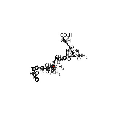 Cc1c(-c2ccc(-c3ccc4cncc(C(=O)Nc5nc6ccccc6s5)c4c3)nc2C(=O)O)cnn1CC12CC3(C)CC(C)(C1)CC(OCCN(C)C(=O)OCc1ccc(NC(=O)[C@H](CCCNC(N)=O)NC(=O)[C@@H](NC(=O)CCCCCNC(=O)CCC(=O)O)C(C)C)cc1)(C3)C2